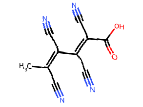 C/C(C#N)=C(C#N)/C(C#N)=C(\C#N)C(=O)O